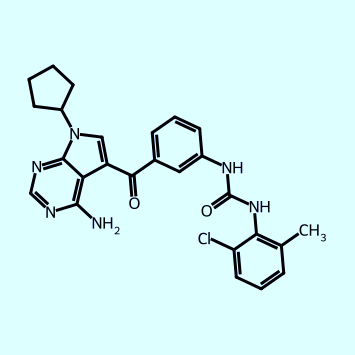 Cc1cccc(Cl)c1NC(=O)Nc1cccc(C(=O)c2cn(C3CCCC3)c3ncnc(N)c23)c1